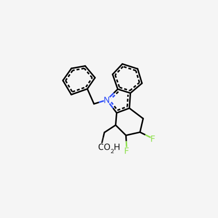 O=C(O)CC1c2c(c3ccccc3n2Cc2ccccc2)CC(F)C1F